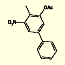 CC(=O)Oc1cc(-c2ccccc2)cc([N+](=O)[O-])c1C